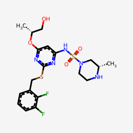 C[C@H](CO)Oc1cc(NS(=O)(=O)N2CCN[C@@H](C)C2)nc(SCc2cccc(F)c2F)n1